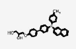 Cc1ccc(N(c2ccc(-c3ccc(OCC(O)CO)cc3)cc2)c2ccc3ccccc3c2)cc1